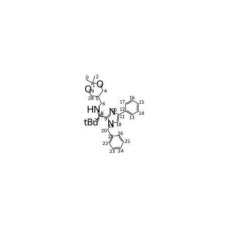 CC1(C)OCC(CN[C@@H](c2nc(-c3ccccc3)cn2Cc2ccccc2)C(C)(C)C)CO1